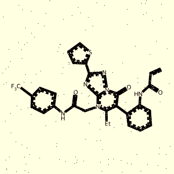 C=CC(=O)Nc1ccccc1-c1c(CC)n(CC(=O)Nc2ccc(C(F)(F)F)cc2)c2nc(-c3cccs3)nn2c1=O